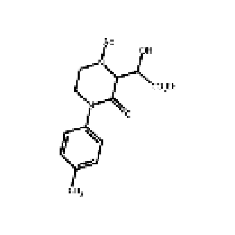 CCOC(=O)C(O)C1C(=O)N(c2ccc(C)cc2)CCN1C(C)=O